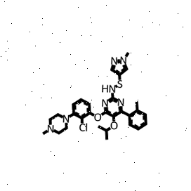 Cc1ccccc1-c1nc(NSc2cnn(C)c2)nc(Oc2cccc(N3CCN(C)CC3)c2Cl)c1OC(C)C